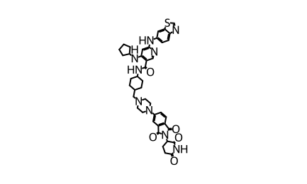 O=C1CCC(N2C(=O)c3ccc(N4CCN(CC5CCC(NC(=O)c6cnc(Nc7ccc8ncsc8c7)cc6NC6CCCC6)CC5)CC4)cc3C2=O)C(=O)N1